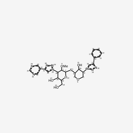 COC1C(SC2COCC(n3cc(-c4ccccc4)nn3)C2O)OC(CO)C(O)C1n1cc(-c2cncnc2)nn1